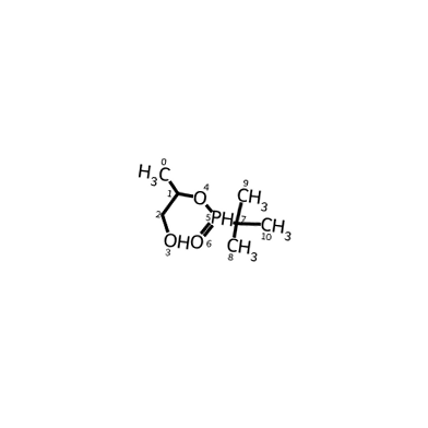 CC(CO)O[PH](=O)C(C)(C)C